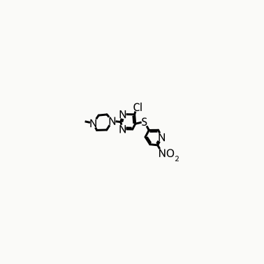 CN1CCN(c2ncc(Sc3ccc([N+](=O)[O-])nc3)c(Cl)n2)CC1